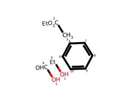 CCO.CCOC(C)=O.O=CO.c1ccccc1